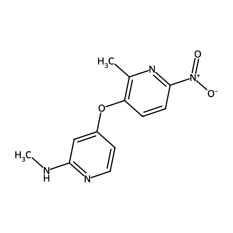 CNc1cc(Oc2ccc([N+](=O)[O-])nc2C)ccn1